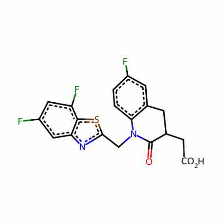 O=C(O)CC1Cc2cc(F)ccc2N(Cc2nc3cc(F)cc(F)c3s2)C1=O